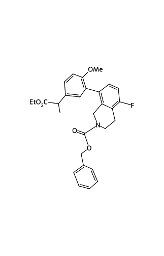 CCOC(=O)C(C)c1ccc(OC)c(-c2ccc(F)c3c2CN(C(=O)OCc2ccccc2)CC3)c1